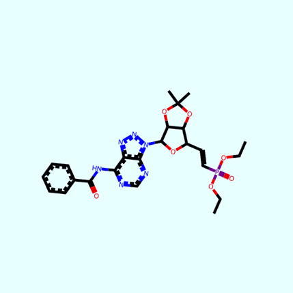 CCOP(=O)(C=CC1OC(n2nnc3c(NC(=O)c4ccccc4)ncnc32)C2OC(C)(C)OC12)OCC